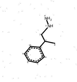 CC(CNN)c1ccccc1